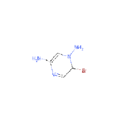 NC1=CN(N)C(Br)C=N1